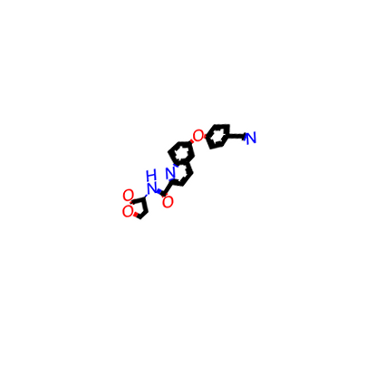 N#Cc1ccc(Oc2ccc3nc(C(=O)N[C@@H]4CCOC4=O)ccc3c2)cc1